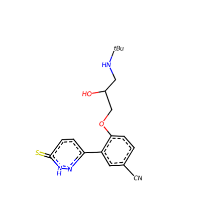 CC(C)(C)NCC(O)COc1ccc(C#N)cc1-c1ccc(=S)[nH]n1